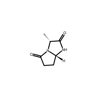 C[C@@H]1C(=O)N[C@@H]2CCC(=O)N12